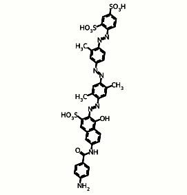 Cc1cc(N=Nc2c(S(=O)(=O)O)cc3cc(NC(=O)c4ccc(N)cc4)ccc3c2O)c(C)cc1N=Nc1ccc(N=Nc2ccc(S(=O)(=O)O)cc2S(=O)(=O)O)c(C)c1